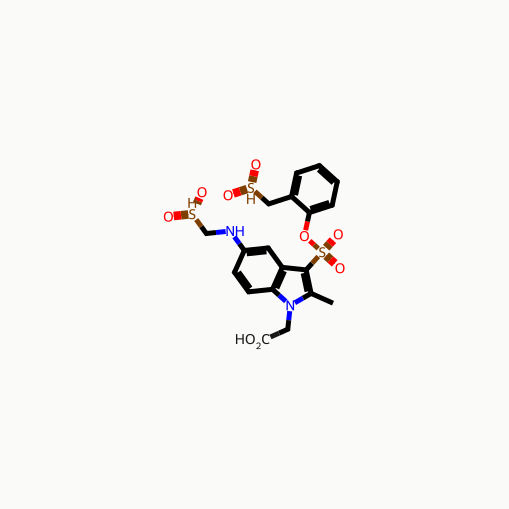 Cc1c(S(=O)(=O)Oc2ccccc2C[SH](=O)=O)c2cc(NC[SH](=O)=O)ccc2n1CC(=O)O